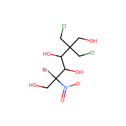 O=[N+]([O-])C(Br)(CO)C(O)C(O)C(CO)(CCl)CCl